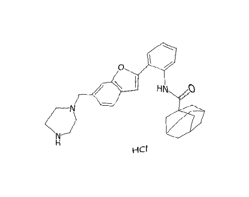 Cl.O=C(Nc1ccccc1-c1cc2ccc(CN3CCNCC3)cc2o1)C12CC3CC(CC(C3)C1)C2